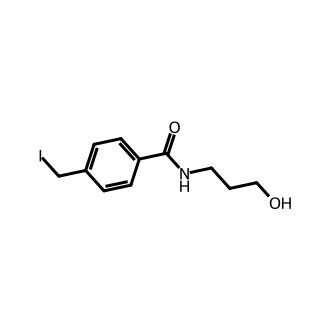 O=C(NCCCO)c1ccc(CI)cc1